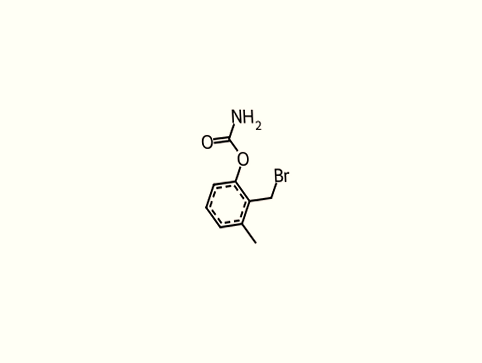 Cc1cccc(OC(N)=O)c1CBr